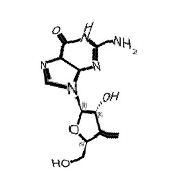 C=C1[C@@H](O)[C@H](N2C=NC3C(=O)NC(N)=NC32)O[C@@H]1CO